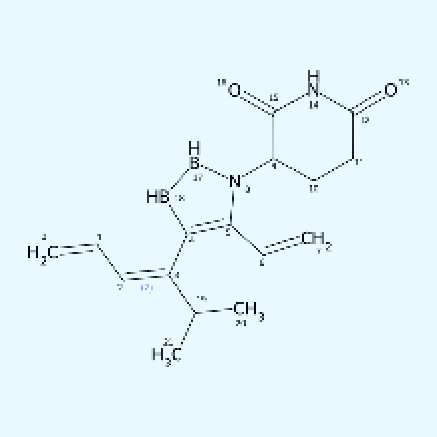 C=C/C=C(\C1=C(C=C)N(C2CCC(=O)NC2=O)BB1)C(C)C